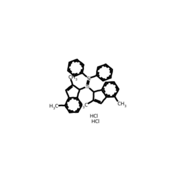 CC1=Cc2c(C)cccc2[CH]1[Ti]([CH]1C(C)=Cc2c(C)cccc21)=[Si](c1ccccc1)c1ccccc1.Cl.Cl